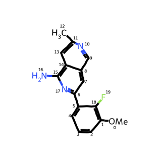 COc1cccc(-c2cc3cnc(C)cc3c(N)n2)c1F